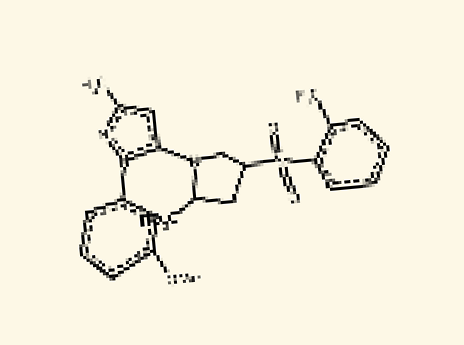 COc1cccc(-n2nc(C)cc2N2CC(S(=O)(=O)c3ccccc3C(F)(F)F)CC2C(=O)O)c1